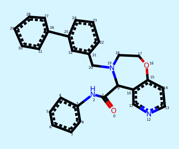 O=C(Nc1ccccc1)C1c2cnccc2OCCN1Cc1cccc(-c2ccccc2)c1